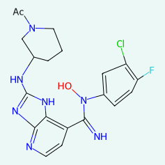 CC(=O)N1CCCC(Nc2nc3nccc(C(=N)N(O)c4ccc(F)c(Cl)c4)c3[nH]2)C1